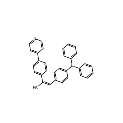 N#CC(=Cc1ccc(N(c2ccccc2)c2ccccc2)cc1)c1ccc(-c2ccncc2)cc1